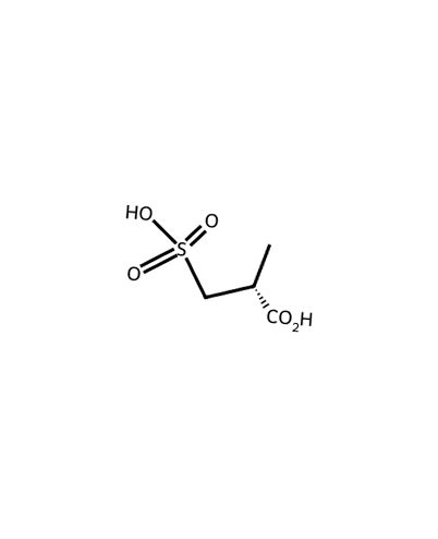 C[C@@H](CS(=O)(=O)O)C(=O)O